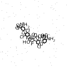 COC(=O)C(NC(=O)c1cc(Cl)c(Oc2ccc(N)c([N+](=O)[O-])c2)c(Cl)c1)C(c1cc(Cl)c(Oc2ccc(N)c([N+](=O)[O-])c2)c(Cl)c1)C(F)C(=O)O